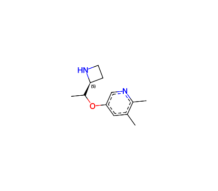 Cc1cc(OC(C)[C@@H]2CCN2)cnc1C